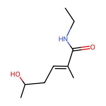 CCNC(=O)C(C)=CCC(C)O